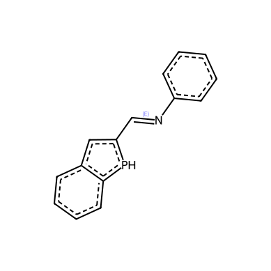 C(=N\c1ccccc1)/c1cc2ccccc2[pH]1